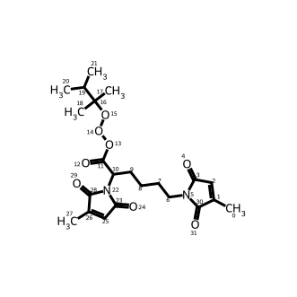 CC1=CC(=O)N(CCCCC(C(=O)OOOC(C)(C)C(C)C)N2C(=O)C=C(C)C2=O)C1=O